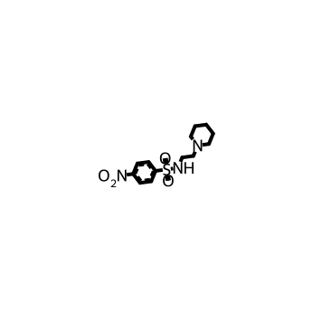 O=[N+]([O-])c1ccc(S(=O)(=O)NCCN2CCCCC2)cc1